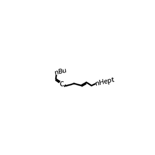 [CH2]CCCCCCCC=CCC=C=CCCCC